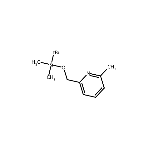 Cc1cccc(CO[Si](C)(C)C(C)(C)C)n1